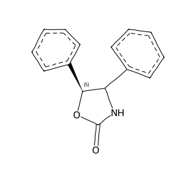 O=C1NC(c2ccccc2)[C@H](c2ccccc2)O1